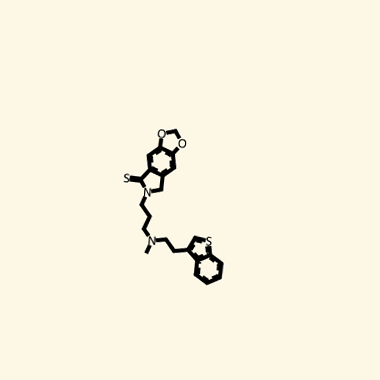 CN(CCCN1Cc2cc3c(cc2C1=S)OCO3)CCc1csc2ccccc12